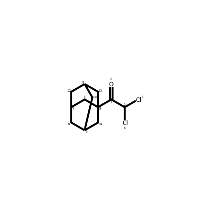 O=C(C(Cl)Cl)C12CC3CC(CC(C3)C1)C2